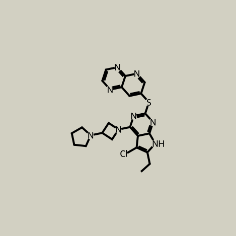 CCc1[nH]c2nc(Sc3cnc4nccnc4c3)nc(N3CC(N4CCCC4)C3)c2c1Cl